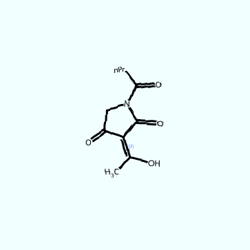 CCCC(=O)N1CC(=O)/C(=C(\C)O)C1=O